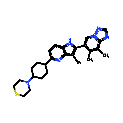 Cc1c(-c2[nH]c3ccc(C4CCC(N5CCSCC5)CC4)nc3c2C(C)C)cn2ncnc2c1C